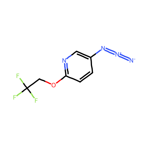 [N-]=[N+]=Nc1ccc(OCC(F)(F)F)nc1